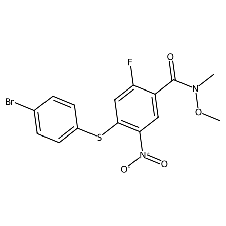 CON(C)C(=O)c1cc([N+](=O)[O-])c(Sc2ccc(Br)cc2)cc1F